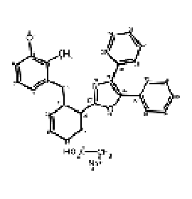 CC(=O)O.Cc1c([O-])cccc1CC1C=CCCC1c1nc(-c2ccccc2)c(-c2ccccc2)o1.[Na+]